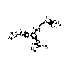 C=C(C)C(=O)Oc1ccc(-c2cc(OC(=O)C(=C)C)cc(C(=O)OCCOC(O)C(=C)C)c2)cc1